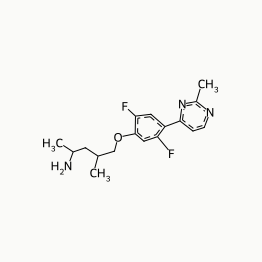 Cc1nccc(-c2cc(F)c(OCC(C)CC(C)N)cc2F)n1